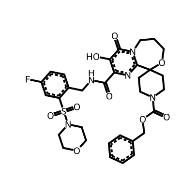 O=C(NCc1ccc(F)cc1S(=O)(=O)N1CCOCC1)c1nc2n(c(=O)c1O)CCCOC21CCN(C(=O)OCc2ccccc2)CC1